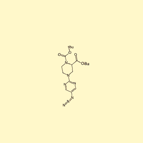 CC(C)COC(=O)C1CN(c2ncc(N=[N+]=[N-])cn2)CCN1C(=O)OC(C)(C)C